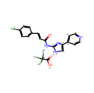 O=C(C=Cc1ccc(Cl)cc1)Nc1nc(-c2ccncc2)c[nH]1.O=C(O)C(F)(F)F